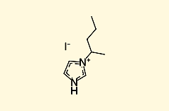 CCCC(C)[n+]1cc[nH]c1.[I-]